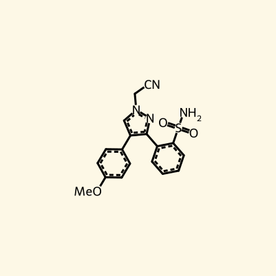 COc1ccc(-c2cn(CC#N)nc2-c2ccccc2S(N)(=O)=O)cc1